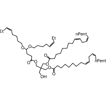 CC/C=C\CCCCOC(CCC(=O)OCC(CO)(COC(=O)CCCCCCC/C=C\C/C=C\CCCCC)COC(=O)CCCCCCC/C=C\C/C=C\CCCCC)OCCCC/C=C\CC